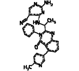 Cc1ccc(-c2cccc3nc(C(C)Nc4nc(N)ncc4C#N)n(-c4ccccc4)c(=O)c23)cn1